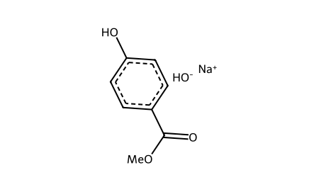 COC(=O)c1ccc(O)cc1.[Na+].[OH-]